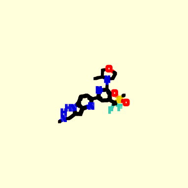 CNCc1cc2nc(-c3cc(C(F)(F)S(C)(=O)=O)cc(N4CCOCC4C)n3)ccc2[nH]1